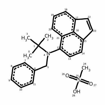 CC(C)(C)N(Cc1ccccc1)c1ccc2c3c(cccc13)C=C2.CS(=O)(=O)O